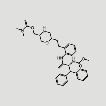 C=C(Nc1ccccc1CC[C@@H]1CN[C@H](COC(=C)N(C)C)CO1)[C@@H](NC(=O)OC)C(c1ccccc1)c1ccccc1